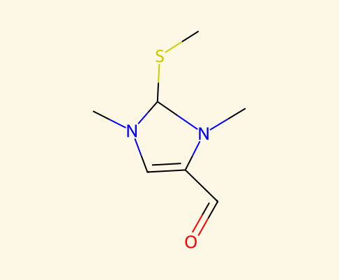 CSC1N(C)C=C(C=O)N1C